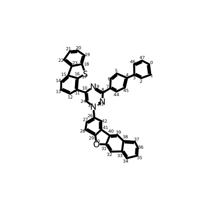 c1ccc(-c2ccc(-c3nc(-c4cccc5c4sc4ccccc45)c[n+](-c4ccc5oc6cc7ccccc7cc6c5c4)n3)cc2)cc1